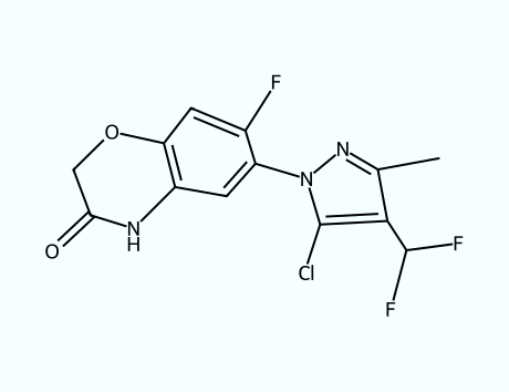 Cc1nn(-c2cc3c(cc2F)OCC(=O)N3)c(Cl)c1C(F)F